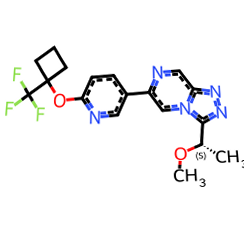 CO[C@@H](C)c1nnc2cnc(-c3ccc(OC4(C(F)(F)F)CCC4)nc3)cn12